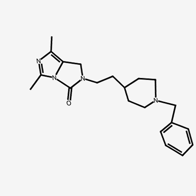 Cc1nc(C)n2c1CN(CCC1CCN(Cc3ccccc3)CC1)C2=O